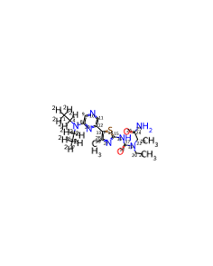 [2H]C([2H])([2H])C([2H])([2H])N(c1cncc(-c2sc(NC(=O)N(CC)[C@@H](C)C(N)=O)nc2C)n1)C([2H])([2H])C([2H])([2H])[2H]